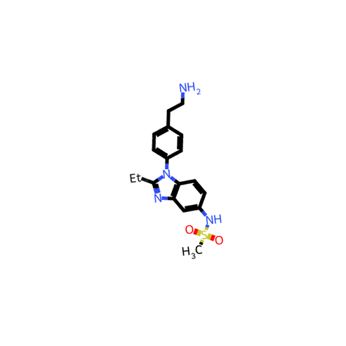 CCc1nc2cc(NS(C)(=O)=O)ccc2n1-c1ccc(CCN)cc1